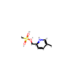 Cc1ccc(COS(C)(=O)=O)nc1